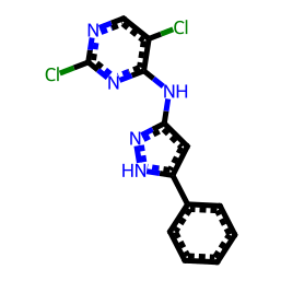 Clc1ncc(Cl)c(Nc2cc(-c3ccccc3)[nH]n2)n1